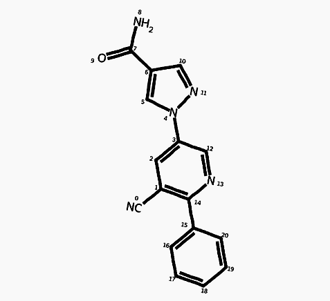 N#Cc1cc(-n2cc(C(N)=O)cn2)cnc1-c1ccccc1